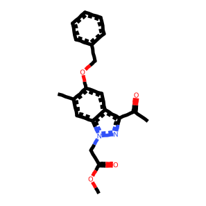 COC(=O)Cn1nc(C(C)=O)c2cc(OCc3ccccc3)c(C)cc21